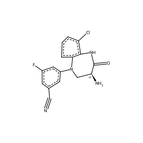 N#Cc1cc(F)cc(N2C[C@H](N)C(=O)Nc3c(Cl)cccc32)c1